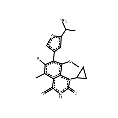 COc1c(-c2csc(C(C)N)c2)c(F)c(C)c2c(=O)[nH]c(=O)n(C3CC3)c12